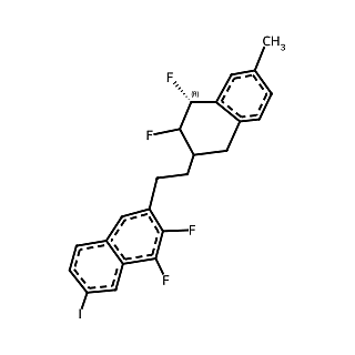 Cc1ccc2c(c1)[C@@H](F)C(F)C(CCc1cc3ccc(I)cc3c(F)c1F)C2